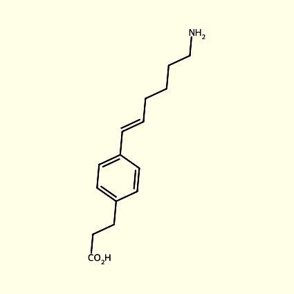 NCCCCC=Cc1ccc(CCC(=O)O)cc1